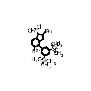 CCCc1ccc2c(c1-c1cc([Si](C)(C)C)cc([Si](C)(C)C)c1)C=C(C(C)CC)[CH]2[Zr]([Cl])[Cl]